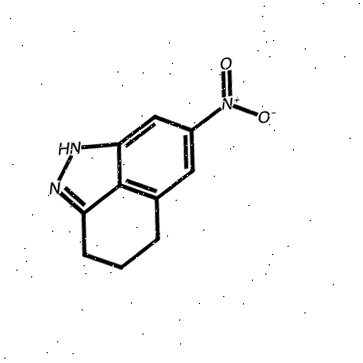 O=[N+]([O-])c1cc2c3c(n[nH]c3c1)CCC2